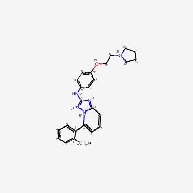 O=C(O)c1ccccc1-c1cccc2nc(Nc3ccc(OCCN4CCCC4)cc3)nn12